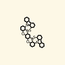 c1cc2c3c(c1)-n1c4ccccc4c4cccc(c41)SB3c1cc3c(cc1O2)Oc1cccc2c1B3Sc1cccc3c4ccccc4n-2c13